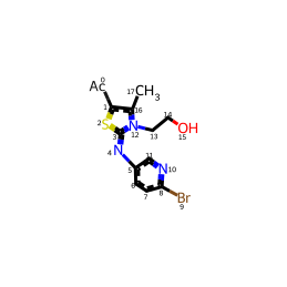 CC(=O)c1sc(=Nc2ccc(Br)nc2)n(CCO)c1C